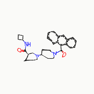 O=C(NC1CCC1)[C@@H]1CCCN(C2CCN(C(=O)c3c4ccccc4cc4ccccc34)CC2)C1